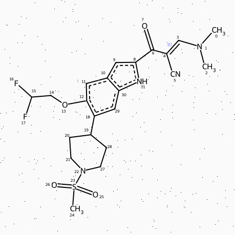 CN(C)/C=C(\C#N)C(=O)c1cc2cc(OCC(F)F)c(C3CCN(S(C)(=O)=O)CC3)cc2[nH]1